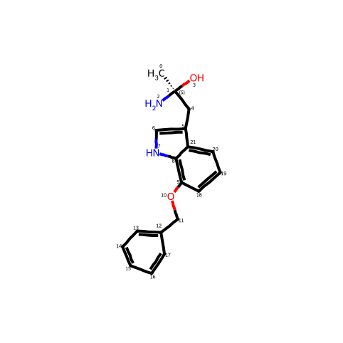 C[C@](N)(O)Cc1c[nH]c2c(OCc3ccccc3)cccc12